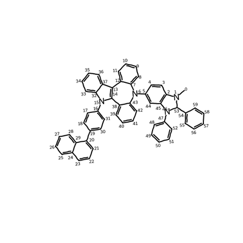 CN1c2ccc(N3c4ccccc4-c4c(n(-c5ccc(-c6cccc7ccccc67)cc5)c5ccccc45)-c4ccccc43)cc2N(c2ccccc2)C1c1ccccc1